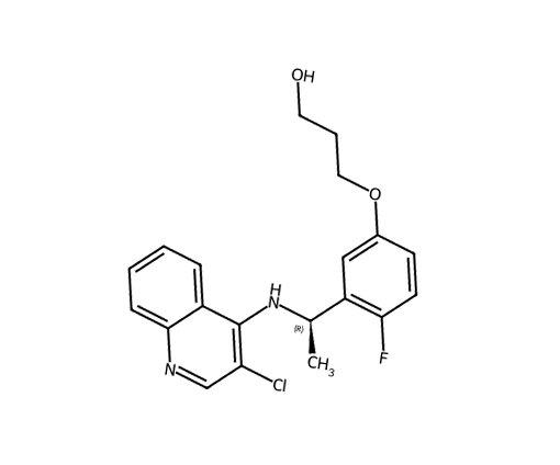 C[C@@H](Nc1c(Cl)cnc2ccccc12)c1cc(OCCCO)ccc1F